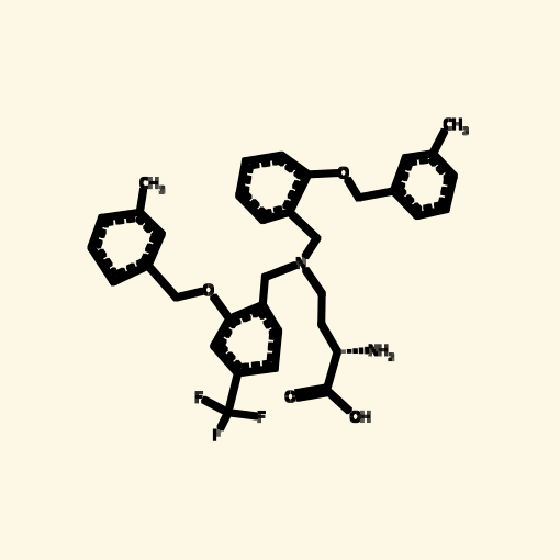 Cc1cccc(COc2ccccc2CN(CC[C@H](N)C(=O)O)Cc2ccc(C(F)(F)F)cc2OCc2cccc(C)c2)c1